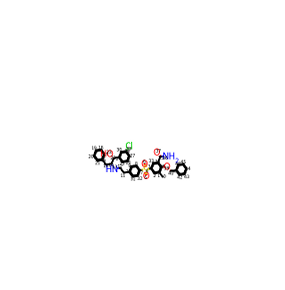 Cc1cc(S(=O)(=O)c2ccc(CCNC(Cc3ccccc3)[C@H](O)c3cccc(Cl)c3)cc2)cc(C(N)=O)c1OCc1ccccc1